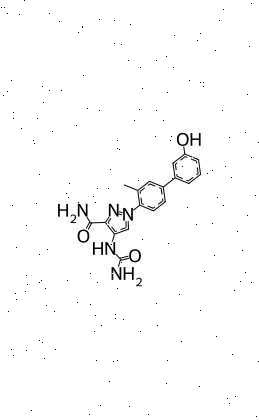 Cc1cc(-c2cccc(O)c2)ccc1-n1cc(NC(N)=O)c(C(N)=O)n1